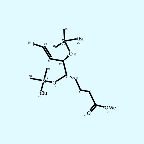 COC(=O)CCC[C@H](O[Si](C)(C)C(C)(C)C)[C@@H](C=CI)O[Si](C)(C)C(C)(C)C